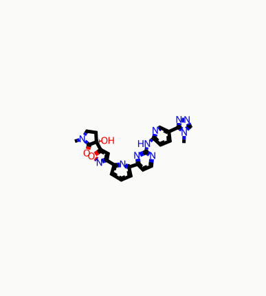 CN1CC[C@@](O)(c2cc(-c3cccc(-c4ccnc(Nc5ccc(-c6nncn6C)cn5)n4)n3)no2)C1=O